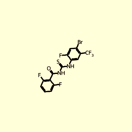 O=C(NC(=S)Nc1cc(C(F)(F)F)c(Br)cc1F)c1c(F)cccc1F